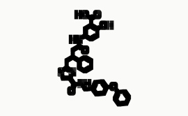 O=C(CC(Cc1nc(C(=O)NCc2ccc(Oc3ccccc3)cc2)cs1)c1ccccc1)Nc1ccc(O)c(C(=O)O)c1